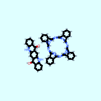 O=c1c2ccccc2[nH]c2cc3c(=O)c4ccccc4[nH]c3cc12.c1ccc2c(c1)-c1nc-2nc2[nH]c(nc3nc(nc4[nH]c(n1)c1ccccc41)-c1ccccc1-3)c1ccccc21